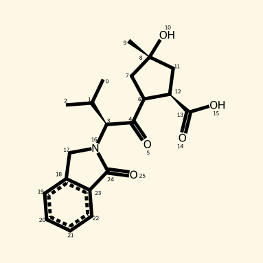 CC(C)[C@@H](C(=O)C1C[C@](C)(O)C[C@H]1C(=O)O)N1Cc2ccccc2C1=O